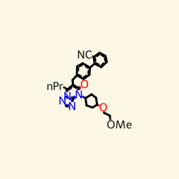 CCCc1c(Cc2ccc(-c3ccccc3C#N)cc2)c(=O)n(C2CCC(OCCOC)CC2)c2ncnn12